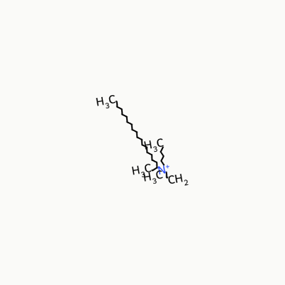 C=CC[N+](C)(CCCCCC)C(CC)CCCCCCCCCCCCCCCCCC